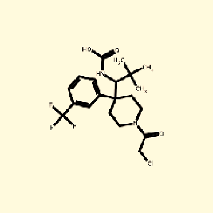 CC(C)(C)C(NC(=O)O)C1(c2cccc(C(F)(F)F)c2)CCN(C(=O)CCl)CC1